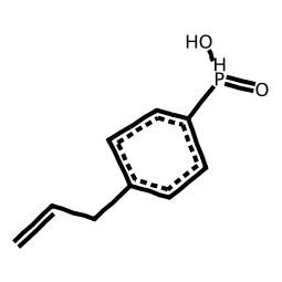 C=CCc1ccc([PH](=O)O)cc1